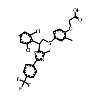 Cc1cc(SCC(c2sc(-c3ccc(C(F)(F)F)cc3)nc2C)c2c(Cl)cccc2Cl)ccc1OCC(=O)O